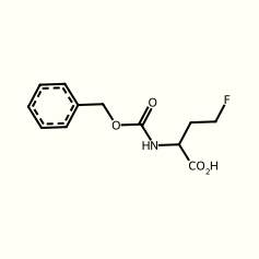 O=C(NC(CCF)C(=O)O)OCc1ccccc1